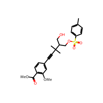 COC(=O)c1ccc(C#CC(C)(C)C(CO)COS(=O)(=O)c2ccc(C)cc2)cc1OC